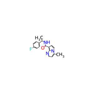 Cc1ccnc2c(C(=O)NC(C)c3ccc(F)cc3)ccn12